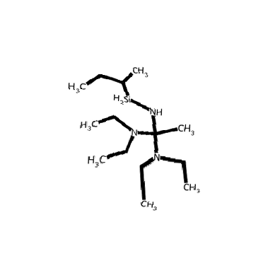 CCC(C)[SiH2]NC(C)(N(CC)CC)N(CC)CC